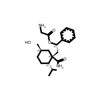 CC(C)[C@@H]1CC[C@@H](C)C[C@]1(C[C@H](OC(=O)CN)c1ccccc1)C(N)=O.Cl